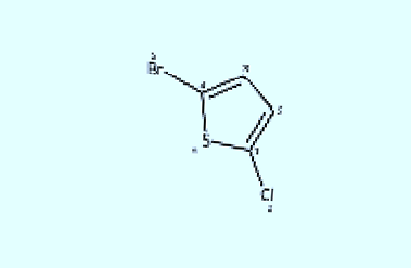 Clc1[c]cc(Br)s1